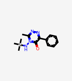 Cc1nnc(-c2ccccc2)c(=O)n1N[Si](C)(C)C